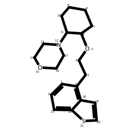 c1cc(CCOC2CCCCC2N2CCOCC2)c2ccsc2c1